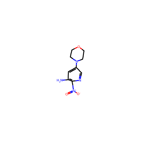 Nc1cc(N2CCOCC2)cnc1[N+](=O)[O-]